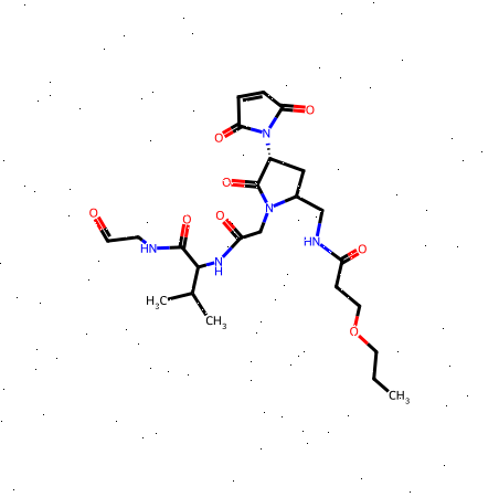 CCCOCCC(=O)NCC1C[C@@H](N2C(=O)C=CC2=O)C(=O)N1CC(=O)NC(C(=O)NCC=O)C(C)C